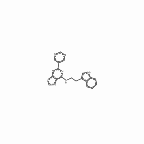 c1ccc2c(CCNc3nc(-c4cncnc4)nc4scnc34)c[nH]c2c1